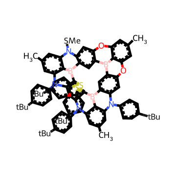 CSN1c2cc3c(cc2B2c4sc5ccc(C(C)(C)C)cc5c4N(c4ccc(C(C)(C)C)cc4)c4cc(C)cc1c42)B1c2cc4c(cc2Oc2cc(C)cc(c21)O3)N(c1ccc(C(C)(C)C)cc1)c1cc(C)cc2c1B4c1sc3ccc(C(C)(C)C)cc3c1N2c1ccc(C(C)(C)C)cc1